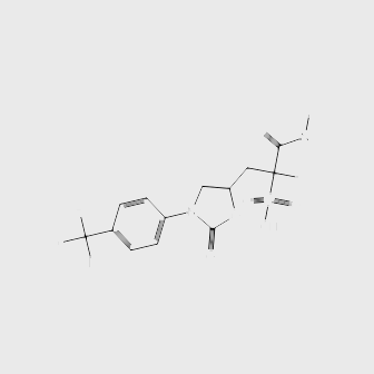 CCC(F)(F)c1ccc(N2CC(CC(C)(C(=O)NO)S(C)(=O)=O)OC2=O)cc1